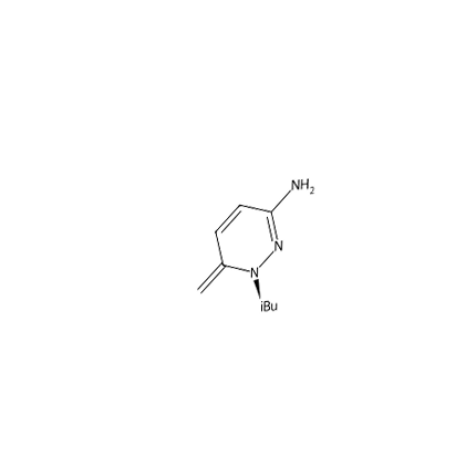 C=C1C=CC(N)=NN1[C@H](C)CC